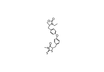 CCN1C(=O)OCC1Cc1ccc(Oc2ccc(CC3SC(=S)N(C)C3=O)cc2)cc1